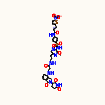 COc1nc(CCCNC(=O)CCNc2cccc3c2CN(C2CCC(=O)NC2=O)C3=O)cnc1NS(=O)(=O)c1ccc(NC(=O)/C=C/c2ccc([N+](=O)[O-])s2)cc1